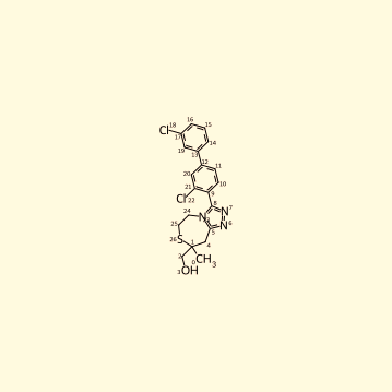 CC1(CO)Cc2nnc(-c3ccc(-c4cccc(Cl)c4)cc3Cl)n2CCS1